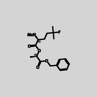 CN[C@@H](CCC(C)(C)F)C(=O)O[C@H](C)C(=O)OCc1ccccc1